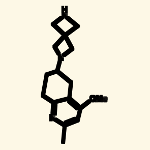 COc1cc(C)nc2c1CC(N1CC3(CNC3)C1)CC2